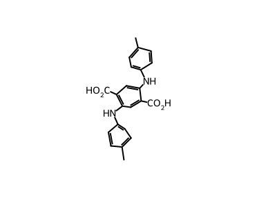 Cc1ccc(Nc2cc(C(=O)O)c(Nc3ccc(C)cc3)cc2C(=O)O)cc1